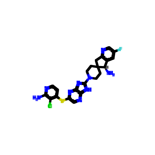 Nc1nccc(Sc2cnc3[nH]c(N4CCC5(CC4)Cc4ncc(F)cc4[C@@H]5N)nc3n2)c1Cl